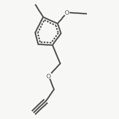 C#CCOCc1ccc(C)c(OC)c1